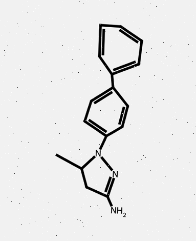 CC1CC(N)=NN1c1ccc(-c2ccccc2)cc1